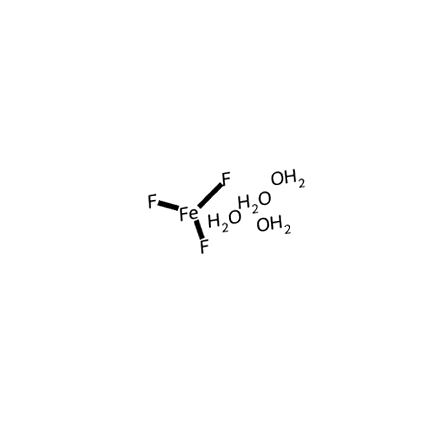 O.O.O.O.[F][Fe]([F])[F]